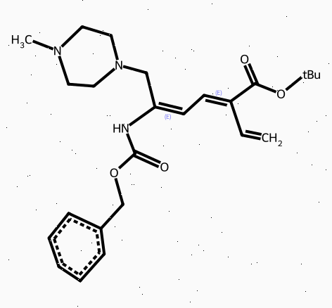 C=C/C(=C\C=C(/CN1CCN(C)CC1)NC(=O)OCc1ccccc1)C(=O)OC(C)(C)C